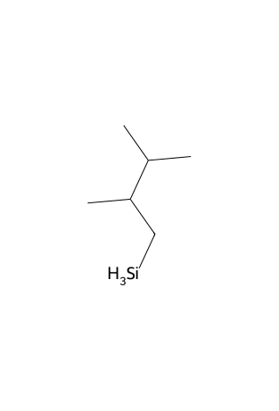 CC(C)C(C)C[SiH3]